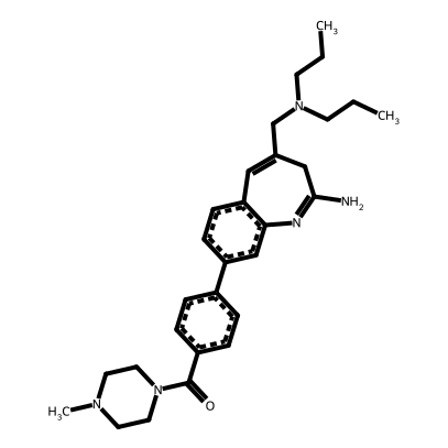 CCCN(CCC)CC1=Cc2ccc(-c3ccc(C(=O)N4CCN(C)CC4)cc3)cc2N=C(N)C1